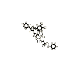 CC1(C)[C@@H](CC(=O)NCC(=O)OCc2ccccc2)C[C@@H]1c1cc(-c2cccnc2)nn1-c1ccc(Cl)c(Cl)c1